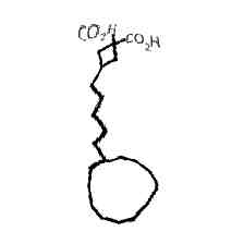 O=C(O)C1(C(=O)O)CC(CCCCCC2CCCCCCCCCCC2)C1